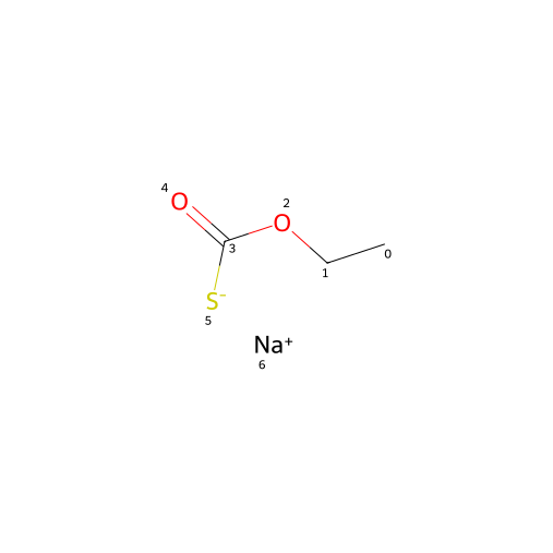 CCOC(=O)[S-].[Na+]